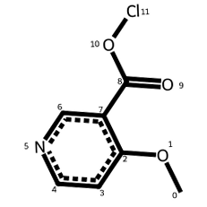 COc1ccncc1C(=O)OCl